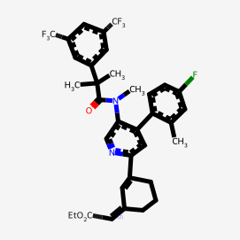 CCOC(=O)/C=C1\C=C(c2cc(-c3ccc(F)cc3C)c(N(C)C(=O)C(C)(C)c3cc(C(F)(F)F)cc(C(F)(F)F)c3)cn2)CCC1